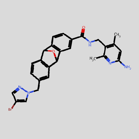 Cc1cc(N)nc(C)c1CNC(=O)c1ccc2c(c1)C1OC2c2ccc(Cn3cc(Br)cn3)cc21